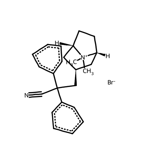 C[N+]1(C)[C@@H]2CC[C@H]1C[C@H](CC(C#N)(c1ccccc1)c1ccccc1)C2.[Br-]